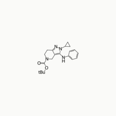 CC(C)(C)OC(=O)N1CCc2nn(C3CC3)c(Nc3ccccc3)c2C1